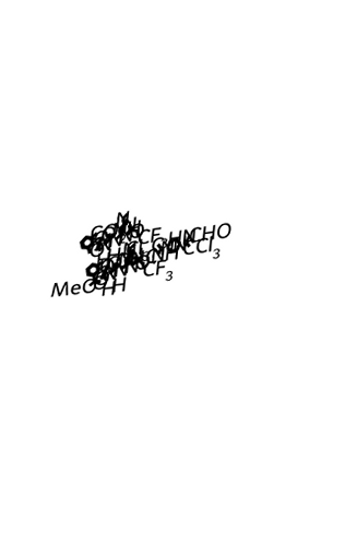 COC(=O)c1cccc(C)c1S(=O)(=O)NC(=O)Nc1nc(OCC(F)(F)F)nc(N(C)C)n1.Cc1cccc(C(=O)O)c1S(=O)(=O)NC(=O)Nc1nc(OCC(F)(F)F)nc(N(C)C)n1.O=CNC(N1CCN(C(NC=O)C(Cl)(Cl)Cl)CC1)C(Cl)(Cl)Cl